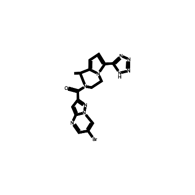 CC1c2ccc(-c3nnn[nH]3)n2CCN1C(=O)c1cc2ncc(Br)cn2n1